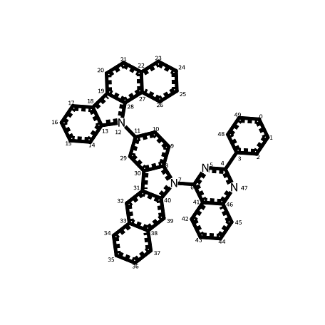 c1ccc(-c2nc(-n3c4ccc(-n5c6ccccc6c6ccc7ccccc7c65)cc4c4cc5ccccc5cc43)c3ccccc3n2)cc1